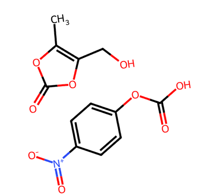 Cc1oc(=O)oc1CO.O=C(O)Oc1ccc([N+](=O)[O-])cc1